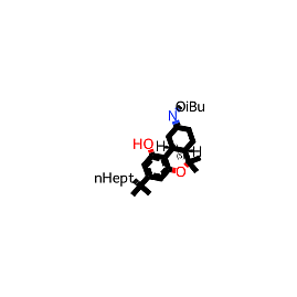 CCCCCCCC(C)(C)c1cc(O)c2c(c1)OC(C)(C)[C@H]1CCC(=NOCC(C)C)C[C@@H]21